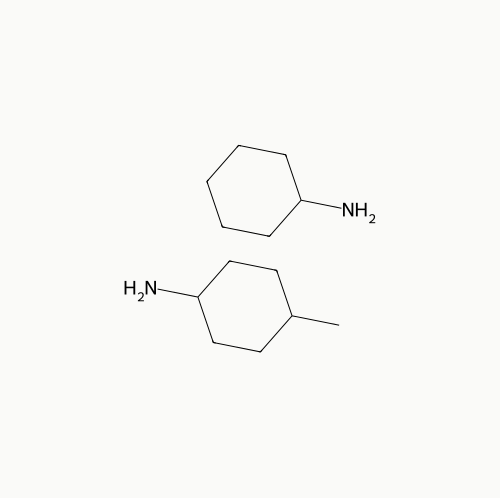 CC1CCC(N)CC1.NC1CCCCC1